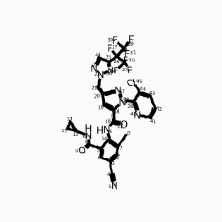 Cc1cc(C#N)cc(C(=O)NC2CC2)c1NC(=O)c1cc(Cn2ncc(C(F)(C(F)(F)F)C(F)(F)F)n2)nn1-c1ncccc1Cl